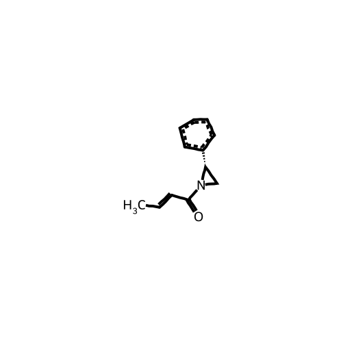 C/C=C/C(=O)N1C[C@H]1c1ccccc1